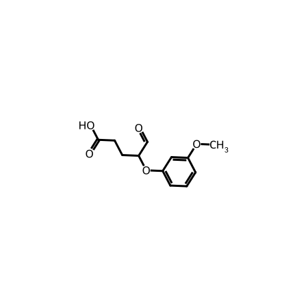 COc1cccc(OC(C=O)CCC(=O)O)c1